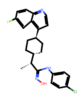 C[C@@H](/C(=N/O)Nc1ccc(Cl)cc1)[C@H]1CC[C@H](c2ccnc3ccc(F)cc32)CC1